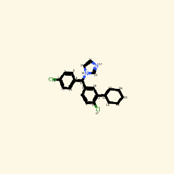 Clc1ccc(C(c2ccc(Cl)c(C3CCCCC3)c2)n2ccnc2)cc1